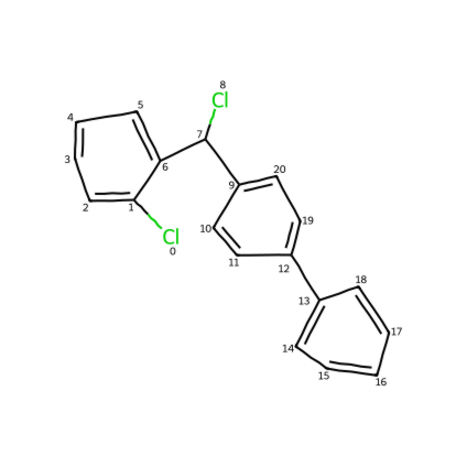 Clc1ccccc1C(Cl)c1ccc(-c2ccccc2)cc1